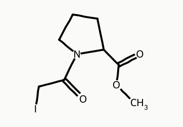 COC(=O)C1CCCN1C(=O)CI